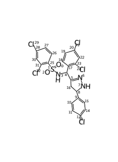 O=S(=O)(NC(C1=NNC(c2ccc(Cl)cc2)C1)c1ccc(Cl)cc1Cl)c1ccc(Cl)cc1Cl